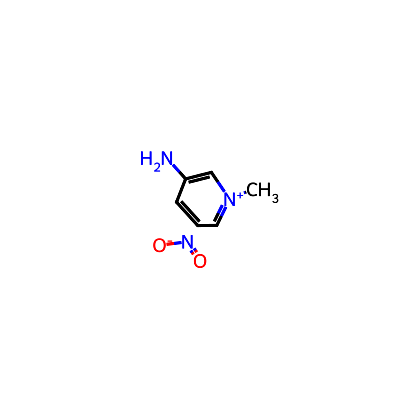 C[n+]1cccc(N)c1.O=N[O-]